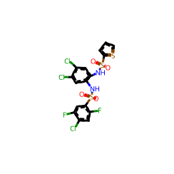 O=S(=O)(Nc1cc(Cl)c(Cl)cc1NS(=O)(=O)c1cc(F)c(Cl)cc1F)c1cccs1